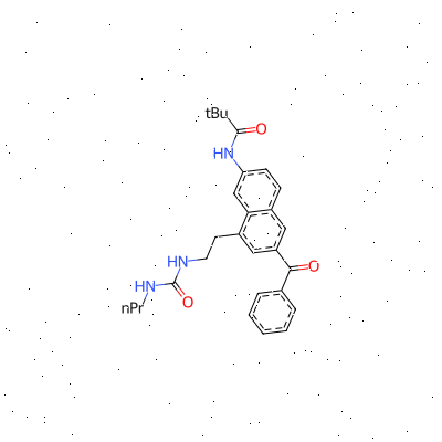 CCCNC(=O)NCCc1cc(C(=O)c2ccccc2)cc2ccc(NC(=O)C(C)(C)C)cc12